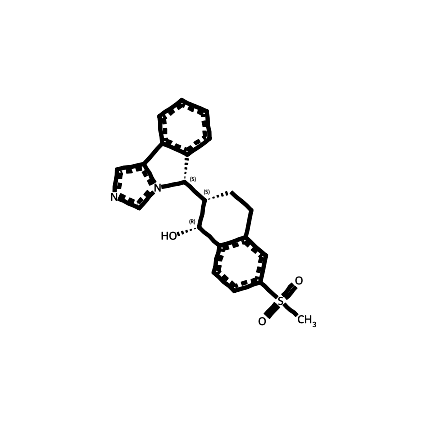 CS(=O)(=O)c1ccc2c(c1)CC[C@@H]([C@H]1c3ccccc3-c3cncn31)[C@H]2O